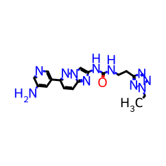 CCn1nnc(CCNC(=O)Nc2cn3nc(-c4cncc(N)c4)ccc3n2)n1